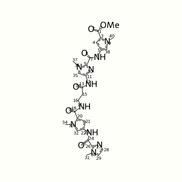 COC(=O)c1cc(NC(=O)c2nc(NC(=O)CCNC(=O)c3cc(NC(=O)c4nccn4C)cn3C)cn2C)cn1C